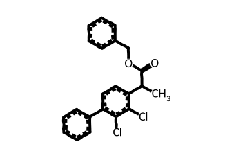 CC(C(=O)OCc1ccccc1)c1ccc(-c2ccccc2)c(Cl)c1Cl